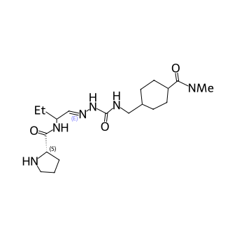 CCC(/C=N/NC(=O)NCC1CCC(C(=O)NC)CC1)NC(=O)[C@@H]1CCCN1